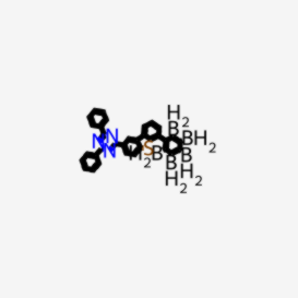 Bc1c(B)c(B)c(-c2cccc3c2sc2ccc(-c4nc(-c5ccccc5)nc(-c5ccccc5)n4)cc23)c(B)c1B